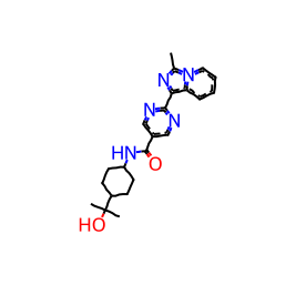 Cc1nc(-c2ncc(C(=O)NC3CCC(C(C)(C)O)CC3)cn2)c2ccccn12